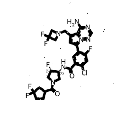 Nc1ncnn2c(-c3cc(C(=O)N[C@@H]4CN(C(=O)C5CCC(F)(F)C5)C[C@@H]4F)c(Cl)cc3F)cc(CN3CC(F)(F)C3)c12